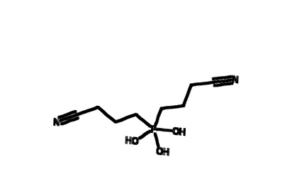 N#CCCCP(O)(O)(O)CCCC#N